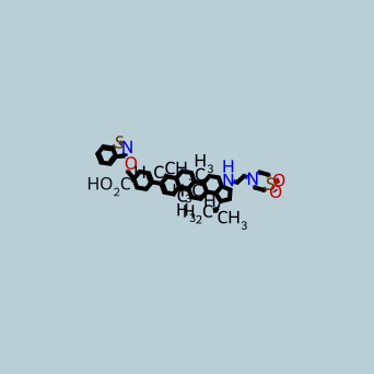 C=C(C)[C@@H]1CC[C@]2(NCCN3CCS(=O)(=O)CC3)CC[C@]3(C)[C@H](CCC4[C@@]5(C)CC=C(C6=CCC(COc7nsc8ccccc78)(C(=O)O)CC6)C(C)(C)C5CC[C@]43C)C12